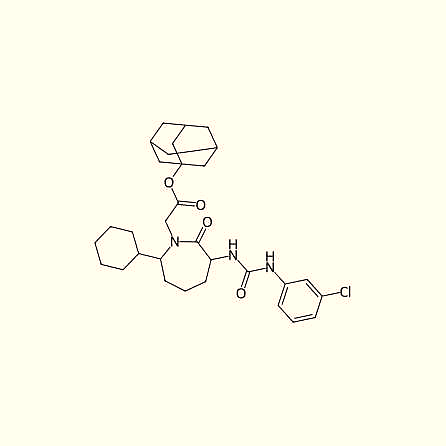 O=C(Nc1cccc(Cl)c1)NC1CCCC(C2CCCCC2)N(CC(=O)OC23CC4CC(CC(C4)C2)C3)C1=O